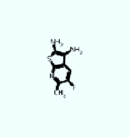 Cc1nc2sc(N)c(N)c2cc1F